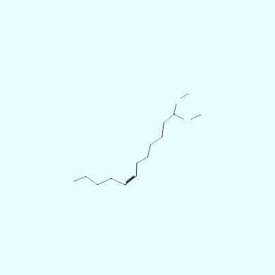 CCOC(CCCCC/C=C\CCCCl)OCC